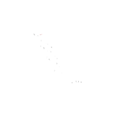 COCOCCCC(C)CC(C)CC(C)CC(C)CC(C)CC(C)CC(C)O